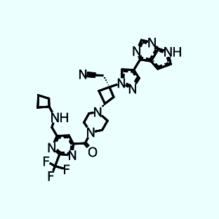 N#CC[C@]1(n2cc(-c3ncnc4[nH]ccc34)cn2)C[C@H](N2CCN(C(=O)c3cc(CNC4CCC4)nc(C(F)(F)F)n3)CC2)C1